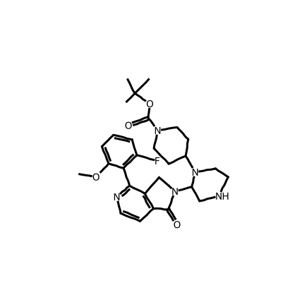 COc1cccc(F)c1-c1nccc2c1CN(C1CNCCN1C1CCN(C(=O)OC(C)(C)C)CC1)C2=O